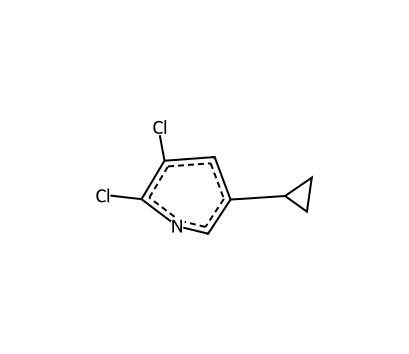 Clc1cc(C2CC2)cnc1Cl